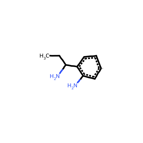 CCC(N)c1cc[c]cc1N